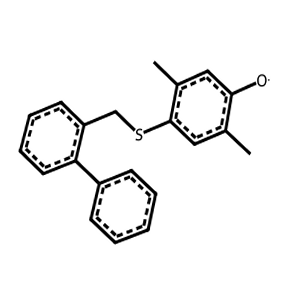 Cc1cc(SCc2ccccc2-c2ccccc2)c(C)cc1[O]